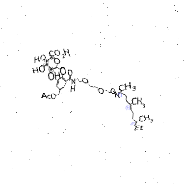 CC/C=C(\C)CC/C=C(\C)CC/C(C)=N/OCCOCCOCCNC(=O)c1cc(COC(C)=O)ccc1OC1O[C@H](C(=O)O)[C@@H](O)[C@H](O)[C@H]1O